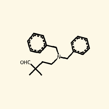 CC(C)(C=O)CCN(Cc1ccccc1)Cc1ccccc1